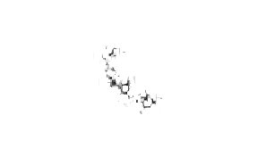 Cc1cc(C)c(CNC(=O)c2cc(Cl)c3c(c2C)O[C@@](C)(C2CCN(C(=O)OC(C)(C)C)CC2)O3)c(=O)[nH]1